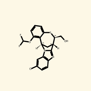 OC[C@@H]1Sc2cccc(OC(F)F)c2[C@H]2C[C@H]1c1nc3ccc(Cl)cc3n12